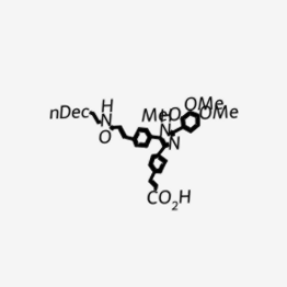 CCCCCCCCCCCCNC(=O)/C=C/c1ccc(-c2[nH]c(-c3ccc(OC)c(OC)c3OC)nc2-c2ccc(/C=C/C(=O)O)cc2)cc1